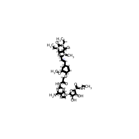 CCNC(=O)[C@H]1O[C@@H](n2cnc3c(N)nc(NC(=O)COc4ccc(/C=C/c5nc6c(c(=O)n(CC)c(=O)n6CC)n5C)cc4OC)nc32)[C@H](O)[C@@H]1O